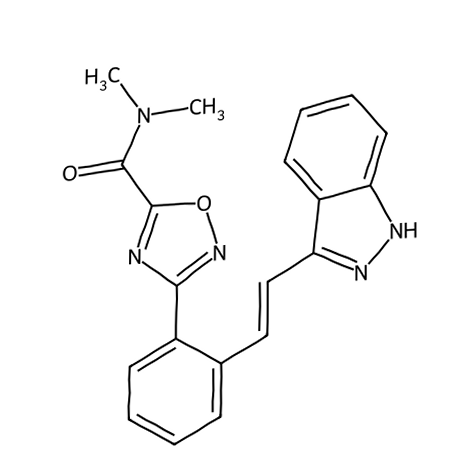 CN(C)C(=O)c1nc(-c2ccccc2C=Cc2n[nH]c3ccccc23)no1